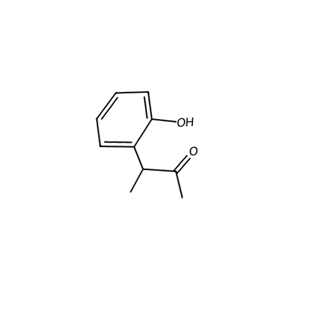 CC(=O)C(C)c1ccccc1O